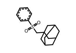 O=S(=O)(CC12CC3CC(CC(C3)C1)C2)c1ccccc1